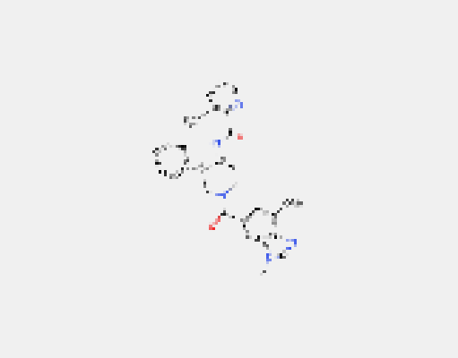 COc1cc(C(=O)N2CC[C@@H](NC(=O)c3ncccc3C(F)(F)F)[C@@H](c3ccccc3)C2)cc2c1ncn2C